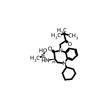 CB(O)N[C@@H]1CN(C2CCCCC2)c2ccccc2N(CC(=O)C(C)(C)C)C1=O